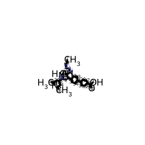 C=C(/C=C\C=C/CC)[C@H](C/C(=N\O)c1cc(C)nc(C)c1)c1ccc(-c2ccc(C(=O)O)cc2)cc1